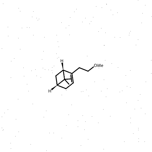 COCCC1=CC[C@@H]2C[C@H]1C2(C)C